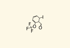 O=CC1C(OC(F)(F)F)=CC=CC1I